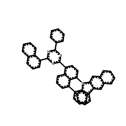 c1ccc(-c2nc(-c3cccc4ccccc34)nc(-c3ccc(-n4c5ccccc5c5cc6ccccc6cc54)c4c(-c5ccccc5)cccc34)n2)cc1